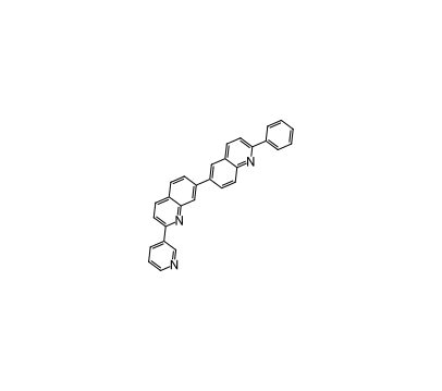 c1ccc(-c2ccc3cc(-c4ccc5ccc(-c6cccnc6)nc5c4)ccc3n2)cc1